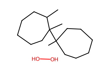 CC1CCCCCC1(C)C1(C)CCCCCC1.OO